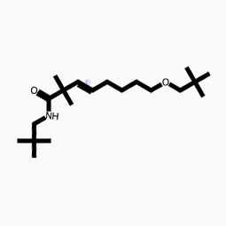 CC(C)(C)CNC(=O)C(C)(C)/C=C/CCCCOCC(C)(C)C